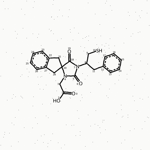 O=C(O)CN1C(=O)N(C(CS)Cc2ccccc2)C(=O)C12Cc1ccccc1C2